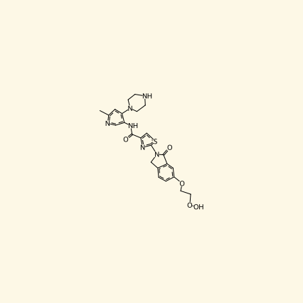 Cc1cc(N2CCNCC2)c(NC(=O)c2csc(N3Cc4ccc(OCCOO)cc4C3=O)n2)cn1